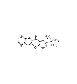 CC(C)(C)c1ccc2c(c1)Nc1cc3nccnc3cc1O2